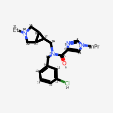 CCCn1cnc(C(=O)N(Cc2cccc(Cl)c2)CC2C3CN(CC)CC32)c1